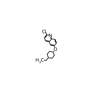 CCC1CCC(Oc2ccc3nc(Cl)ccc3c2)CC1